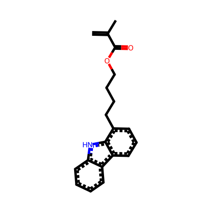 C=C(C)C(=O)OCCCCc1cccc2c1[nH]c1ccccc12